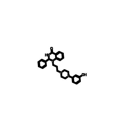 O=C1NC(c2ccccc2)N(CCCN2CCN(c3cccc(O)c3)CC2)c2ccccc21